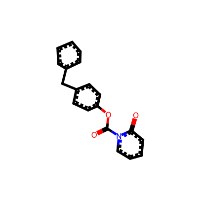 O=C(Oc1ccc(Cc2ccccc2)cc1)n1ccccc1=O